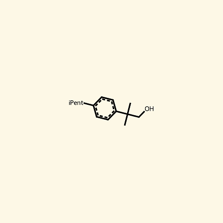 CCCC(C)c1ccc(C(C)(C)CO)cc1